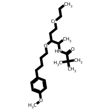 CC[CH2][Cr][CH2]CC(OCCCCc1ccc(OC)cc1)C(C)NC(=O)C(C)(C)C